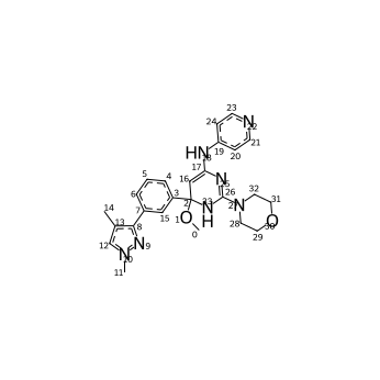 COC1(c2cccc(-c3nn(C)cc3C)c2)C=C(Nc2ccncc2)N=C(N2CCOCC2)N1